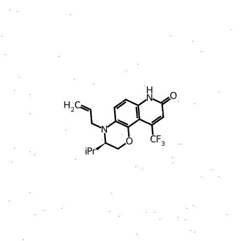 C=CCN1c2ccc3[nH]c(=O)cc(C(F)(F)F)c3c2OC[C@H]1C(C)C